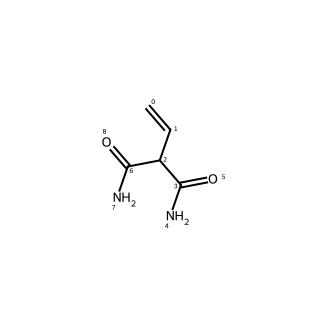 C=CC(C(N)=O)C(N)=O